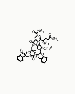 NC(=O)CC[C@H](NC(=O)[C@@H](N)CCC(N)=O)C(=O)NCC(=O)N[C@@H](Cc1c[nH]c2ccccc12)C(=O)N[C@@H](Cc1ccccc1)C(=O)N1CCC[C@H]1C(=O)O